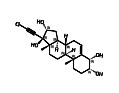 C[C@]12CC[C@@H](O)[C@@H](O)C1=CC[C@@H]1[C@@H]2CC[C@@]2(C)[C@H]1C[C@@H](O)[C@@]2(O)C#CCl